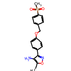 Cc1onc(-c2ccc(OCc3ccc(S(C)(=O)=O)cc3)cc2)c1N